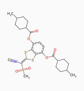 [C-]#[N+]C(=C1Sc2c(OC(=O)C3CCC(C)CC3)ccc(OC(=O)C3CCC(C)CC3)c2S1)S(C)(=O)=O